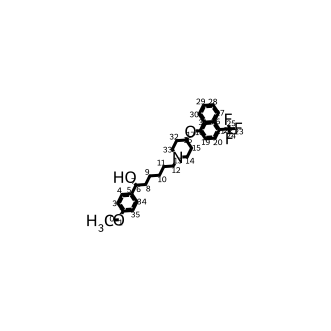 COc1ccc(C(O)CCCCCN2CCC(Oc3ccc(C(F)(F)F)c4ccccc34)CC2)cc1